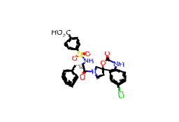 O=C1Nc2ccc(Cl)cc2C2(CCN(C(=O)[C@H](Cc3ccccc3)NS(=O)(=O)c3ccc(C(=O)O)cc3)C2)O1